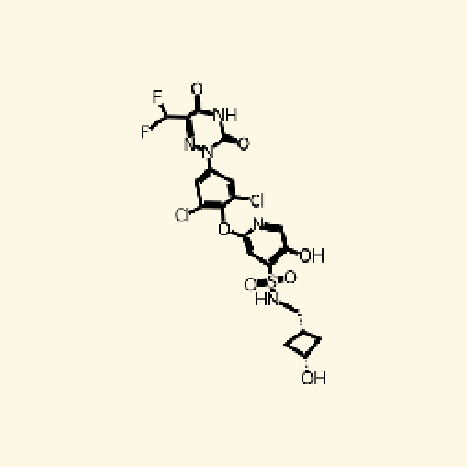 O=c1[nH]c(=O)n(-c2cc(Cl)c(Oc3cc(S(=O)(=O)NC[C@H]4C[C@@H](O)C4)c(O)cn3)c(Cl)c2)nc1C(F)F